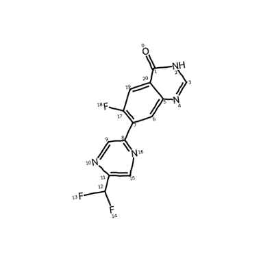 O=c1[nH]cnc2cc(-c3cnc(C(F)F)cn3)c(F)cc12